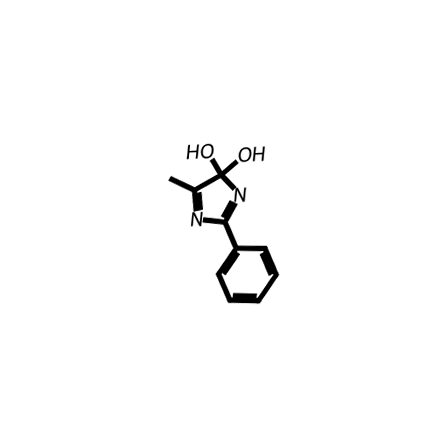 CC1=NC(c2ccccc2)=NC1(O)O